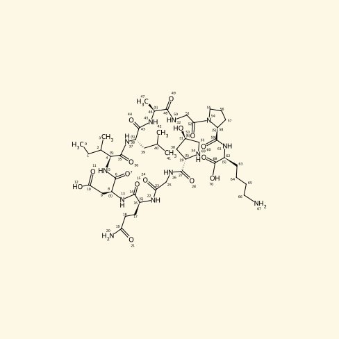 CCC(C)[C@H](NC(=O)[C@H](CC(=O)O)NC(=O)[C@H](CCC(N)=O)NC(=O)CNC(=O)[C@@H]1C[C@@H](O)CN1)C(=O)N[C@@H](CC(C)C)C(=O)N[C@@H](C)C(=O)NCC(=O)N1CCC[C@H]1C(=O)N[C@@H](CCCCN)C(=O)O